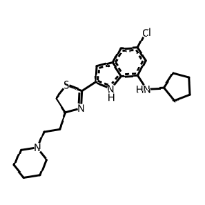 Clc1cc(NC2CCCC2)c2[nH]c(C3=NC(CCN4CCCCC4)CS3)cc2c1